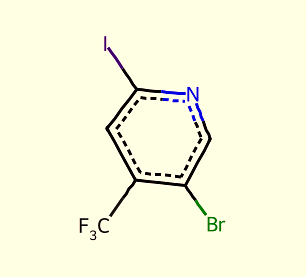 FC(F)(F)c1cc(I)ncc1Br